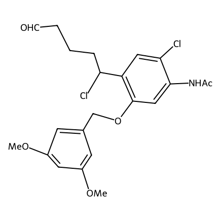 COc1cc(COc2cc(NC(C)=O)c(Cl)cc2C(Cl)CCCC=O)cc(OC)c1